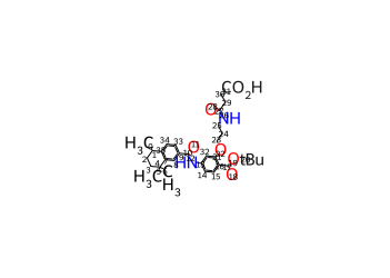 CC1CCC(C)(C)c2cc(C(=O)Nc3ccc(C(=O)OC(C)(C)C)c(OCCCNC(=O)CCC(=O)O)c3)ccc21